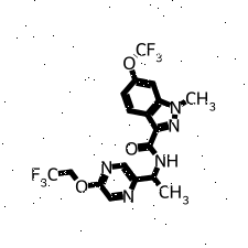 CC(NC(=O)c1nn(C)c2cc(OC(F)(F)F)ccc12)c1cnc(OCC(F)(F)F)cn1